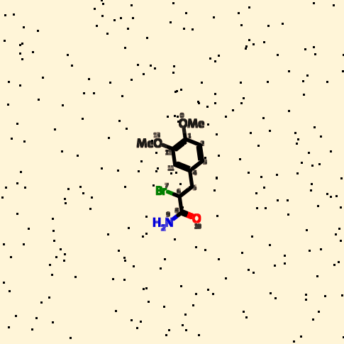 COc1ccc(CC(Br)C(N)=O)cc1OC